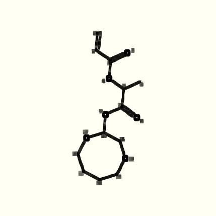 C=CC(=O)OC(C)C(=O)OC1COCCCCO1